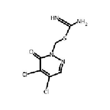 N=C(N)SCn1ncc(Cl)c(Cl)c1=O